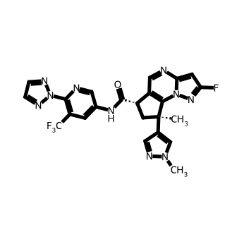 Cn1cc([C@@]2(C)C[C@H](C(=O)Nc3cnc(-n4nccn4)c(C(F)(F)F)c3)c3cnc4cc(F)nn4c32)cn1